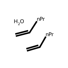 C=CCCC.C=CCCC.O